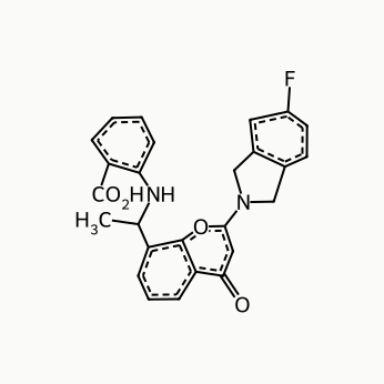 CC(Nc1ccccc1C(=O)O)c1cccc2c(=O)cc(N3Cc4ccc(F)cc4C3)oc12